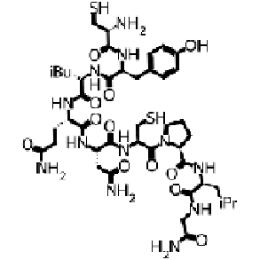 CC[C@@H](C)[C@@H](NC(=O)[C@H](Cc1ccc(O)cc1)NC(=O)[C@@H](N)CS)C(=O)N[C@@H](CCC(N)=O)C(=O)N[C@@H](CC(N)=O)C(=O)N[C@@H](CS)C(=O)N1CCC[C@H]1C(=O)N[C@@H](CC(C)C)C(=O)NCC(N)=O